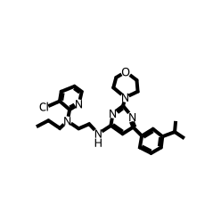 CCCN(CCNc1cc(-c2cccc(C(C)C)c2)nc(N2CCOCC2)n1)c1ncccc1Cl